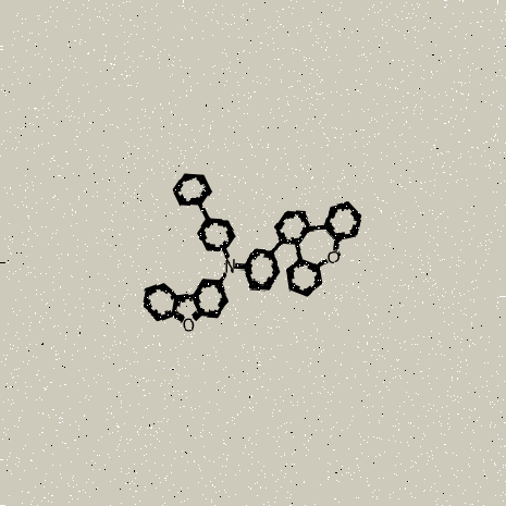 c1ccc(-c2ccc(N(c3cccc(-c4cccc5c4-c4ccccc4Oc4ccccc4-5)c3)c3ccc4oc5ccccc5c4c3)cc2)cc1